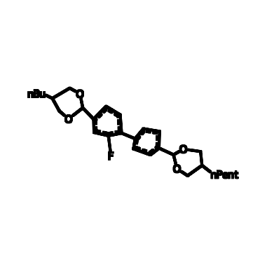 CCCCCC1COC(c2ccc(-c3ccc(C4OCC(CCCC)CO4)cc3F)cc2)OC1